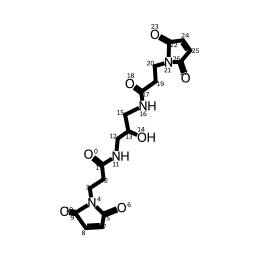 O=C(CCN1C(=O)C=CC1=O)NCC(O)CNC(=O)CCN1C(=O)C=CC1=O